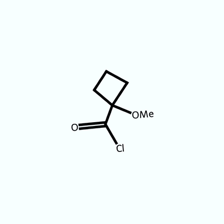 COC1(C(=O)Cl)CCC1